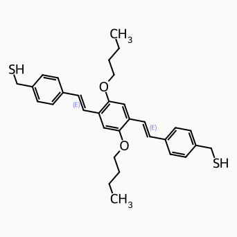 CCCCOc1cc(/C=C/c2ccc(CS)cc2)c(OCCCC)cc1/C=C/c1ccc(CS)cc1